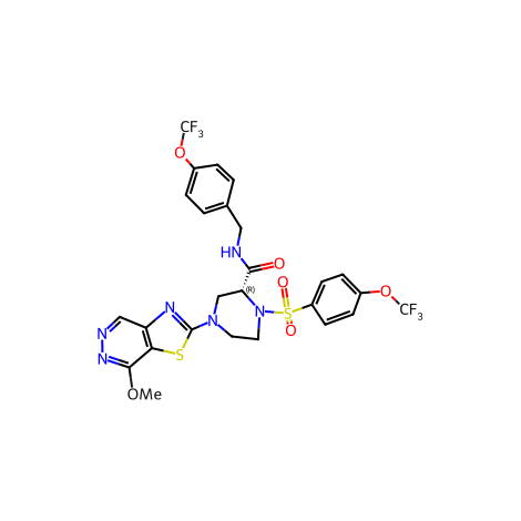 COc1nncc2nc(N3CCN(S(=O)(=O)c4ccc(OC(F)(F)F)cc4)[C@@H](C(=O)NCc4ccc(OC(F)(F)F)cc4)C3)sc12